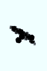 O=C(Nc1nn[nH]n1)c1ccc(CN(C(=O)Nc2nc3c(OC(F)(F)F)cccc3s2)c2ccc(C3CCCCC3)cc2)cc1